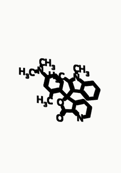 Cc1cc(N(C)C)ccc1C1(c2c(C)n(C)c3ccccc23)OC(=O)c2ncccc21